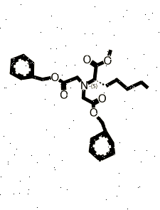 CCCCC[C@@H](C(=O)OC)N(CC(=O)OCc1ccccc1)CC(=O)OCc1ccccc1